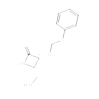 NC[C@@H]1NC(=O)[C@@H]1NCOc1ccccc1